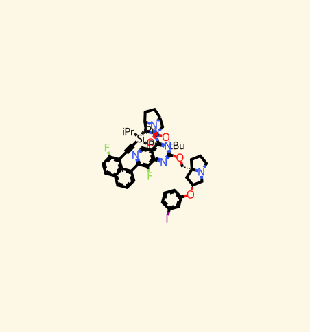 CC(C)[Si](C#Cc1c(F)ccc2cccc(-c3ncc4c(N5CC6CCC(C5)N6C(=O)OC(C)(C)C)nc(OC[C@]56CCCN5C[C@@H](Oc5cccc(I)c5)C6)nc4c3F)c12)(C(C)C)C(C)C